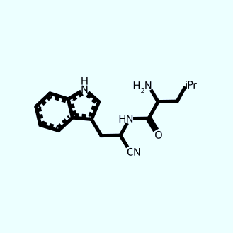 CC(C)CC(N)C(=O)NC(C#N)Cc1c[nH]c2ccccc12